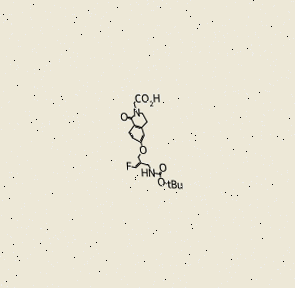 CC(C)(C)OC(=O)NC/C(=C/F)COc1ccc2c(c1)CCN(CC(=O)O)C2=O